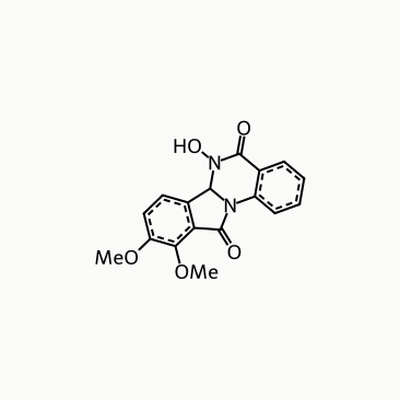 COc1ccc2c(c1OC)C(=O)N1c3ccccc3C(=O)N(O)C21